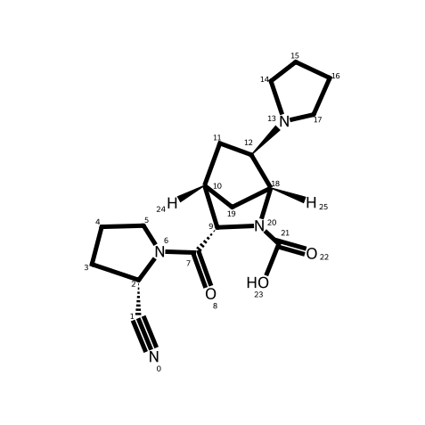 N#C[C@@H]1CCCN1C(=O)[C@@H]1[C@@H]2C[C@@H](N3CCCC3)[C@@H](C2)N1C(=O)O